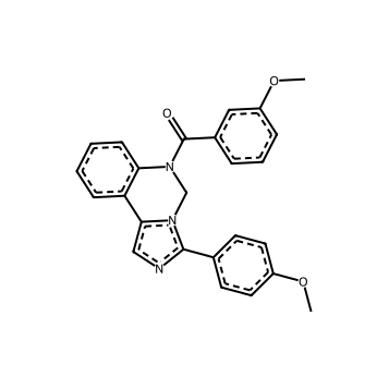 COc1ccc(-c2ncc3n2CN(C(=O)c2cccc(OC)c2)c2ccccc2-3)cc1